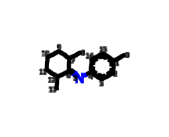 Cc1ccc(N=C2C(C)CCCC2C)cc1